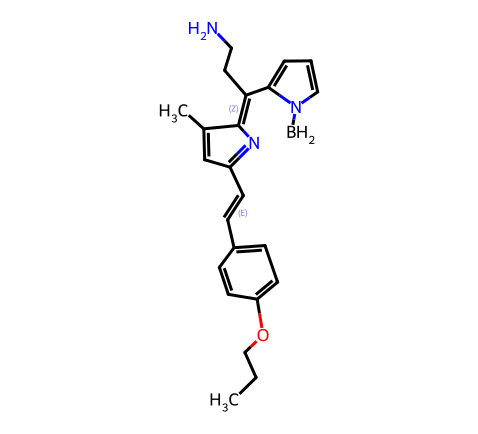 Bn1cccc1/C(CCN)=C1N=C(/C=C/c2ccc(OCCC)cc2)C=C\1C